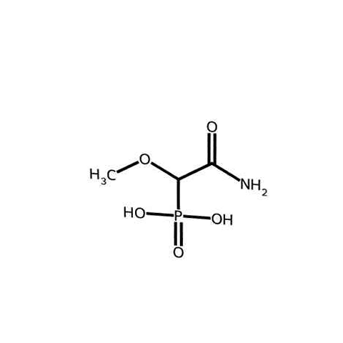 COC(C(N)=O)P(=O)(O)O